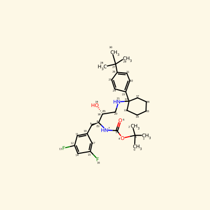 CC(C)(C)OC(=O)N[C@@H](Cc1cc(F)cc(F)c1)[C@H](O)CNC1(c2ccc(C(C)(C)C)cc2)CCCCC1